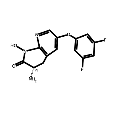 N[C@H]1Cc2cc(Oc3cc(F)cc(F)c3)cnc2N(O)C1=O